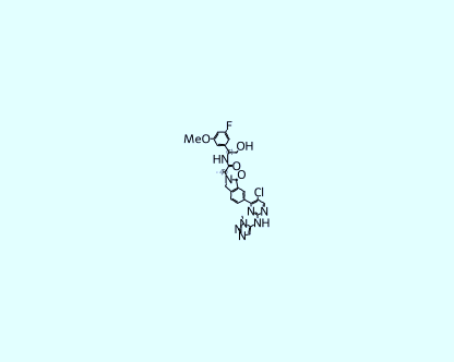 COc1cc(F)cc([C@@H](CO)NC(=O)[C@@H](C)N2Cc3ccc(-c4nc(Nc5cnnn5C)ncc4Cl)cc3C2=O)c1